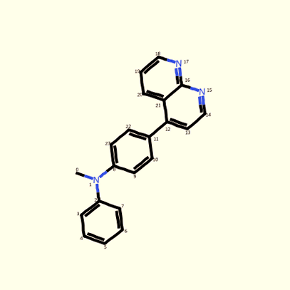 CN(c1ccccc1)c1ccc(-c2ccnc3ncccc23)cc1